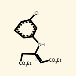 CCOC(=O)/C=C(/CC(=O)OCC)Nc1cccc(Cl)c1